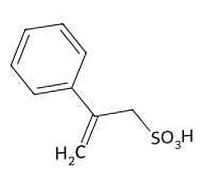 C=C(CS(=O)(=O)O)c1ccccc1